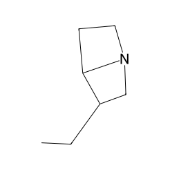 CCC1CN2CCC12